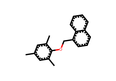 Cc1cc(C)c(OCc2cccc3ccccc23)c(C)c1